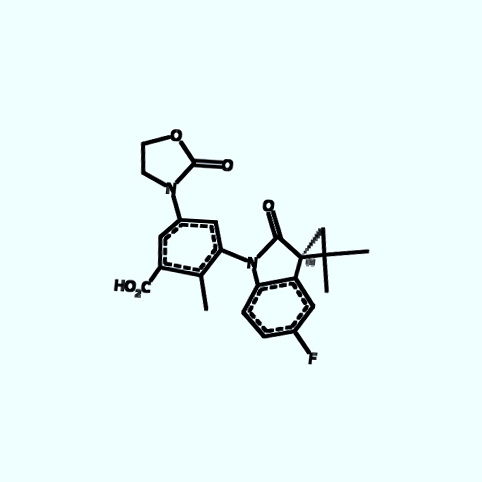 Cc1c(C(=O)O)cc(N2CCOC2=O)cc1N1C(=O)[C@]2(CC2(C)C)c2cc(F)ccc21